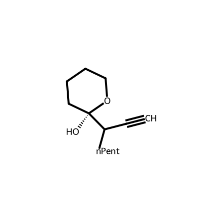 C#CC(CCCCC)[C@@]1(O)CCCCO1